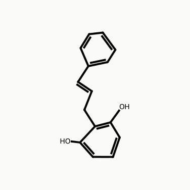 Oc1cccc(O)c1C/C=C/c1ccccc1